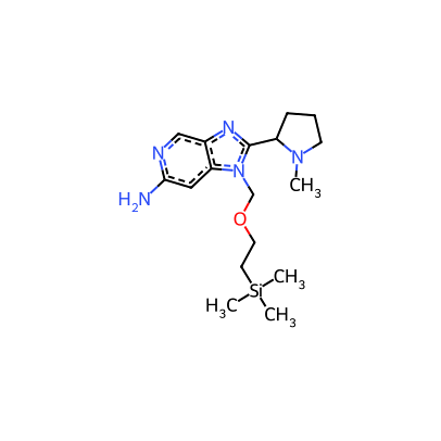 CN1CCCC1c1nc2cnc(N)cc2n1COCC[Si](C)(C)C